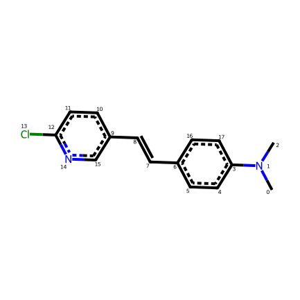 CN(C)c1ccc(/C=C/c2ccc(Cl)nc2)cc1